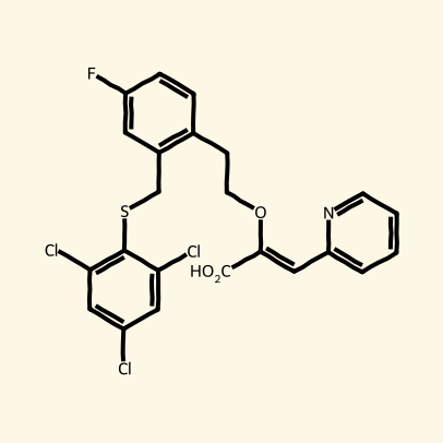 O=C(O)C(=Cc1ccccn1)OCCc1ccc(F)cc1CSc1c(Cl)cc(Cl)cc1Cl